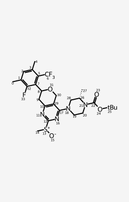 Cc1cc(C)c(C(F)(F)F)c(C2Cc3nc([S+](C)[O-])nc(N4CCN(C(=O)OC(C)(C)C)[C@@H](C)C4)c3CO2)c1F